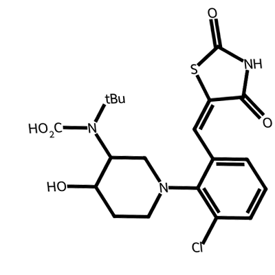 CC(C)(C)N(C(=O)O)C1CN(c2c(Cl)cccc2C=C2SC(=O)NC2=O)CCC1O